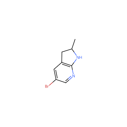 CC1Cc2cc(Br)cnc2N1